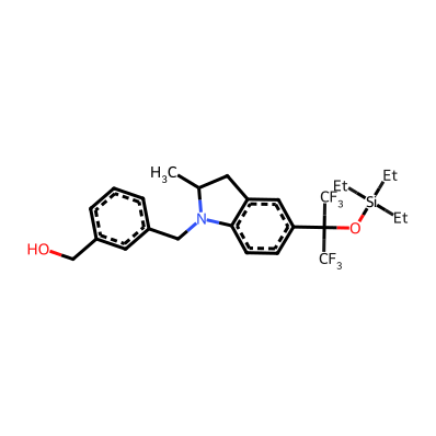 CC[Si](CC)(CC)OC(c1ccc2c(c1)CC(C)N2Cc1cccc(CO)c1)(C(F)(F)F)C(F)(F)F